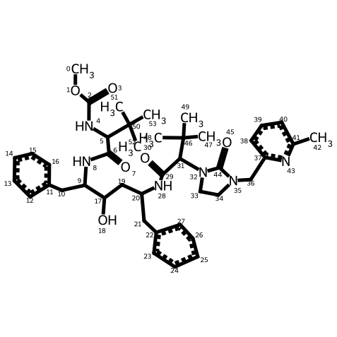 COC(=O)NC(C(=O)NC(Cc1ccccc1)C(O)CC(Cc1ccccc1)NC(=O)C(N1CCN(Cc2cccc(C)n2)C1=O)C(C)(C)C)C(C)(C)C